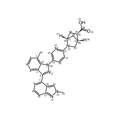 Cc1cccc2c(-c3cccc4nn(C)cc34)nn(-c3ccc(N4C[C@@H]5C[C@H]4C[C@H]5C(=O)O)nc3)c12